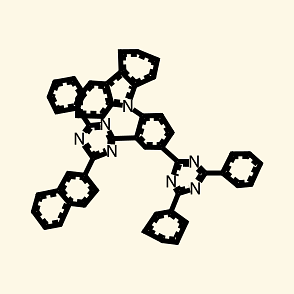 c1ccc(-c2nc(-c3ccccc3)nc(-c3ccc(-n4c5ccccc5c5ccccc54)c(-c4nc(-c5ccccc5)nc(-c5ccc6ccccc6c5)n4)c3)n2)cc1